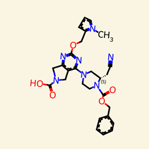 Cn1cccc1COc1nc2c(c(N3CCN(C(=O)OCc4ccccc4)[C@@H](CC#N)C3)n1)CN(C(=O)O)C2